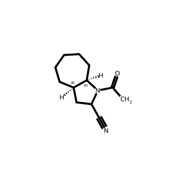 CC(=O)N1C(C#N)C[C@H]2CCCCC[C@H]21